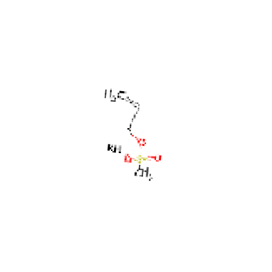 C=CCOS(C)(=O)=O.[KH]